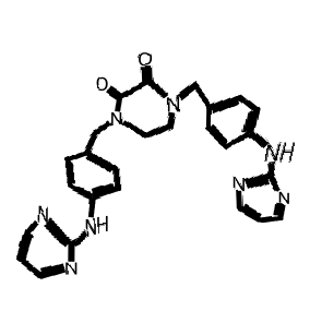 O=C1C(=O)N(Cc2ccc(Nc3ncccn3)cc2)CCN1Cc1ccc(Nc2ncccn2)cc1